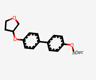 CCCCCCCCCCOc1ccc(-c2ccc(OC3CCOC3)cc2)cc1